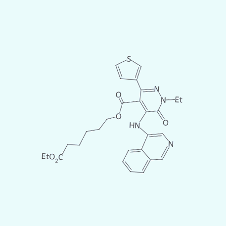 CCOC(=O)CCCCCOC(=O)c1c(-c2ccsc2)nn(CC)c(=O)c1Nc1cncc2ccccc12